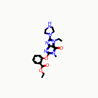 CCOC(=O)c1ccccc1Oc1nc2nc(N3CCNCC3)n(CC)c2c(=O)n1C